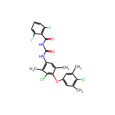 Cc1cc(Oc2c(C)cc(NC(=O)NC(=O)c3c(F)cccc3F)c(C)c2Cl)cc(C)c1Cl